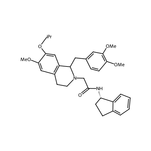 COc1ccc(CC2c3cc(OC(C)C)c(OC)cc3CCN2CC(=O)N[C@H]2CCc3ccccc32)cc1OC